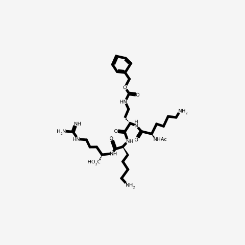 CC(=O)N[C@@H](CCCCN)C(=O)N[C@@H](CCNC(=O)OCc1ccccc1)C(=O)N[C@@H](CCCCN)C(=O)N[C@@H](CCCNC(=N)N)C(=O)O